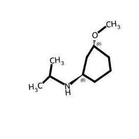 CO[C@@H]1CCC[C@@H](NC(C)C)C1